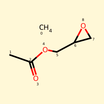 C.CC(=O)OCC1CO1